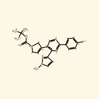 Cn1ccc(-c2nc(-c3ccc(F)cc3)ncc2C2=CCN(C(=O)OC(C)(C)C)C2)n1